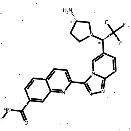 CNC(=O)c1ccc2ccc(-c3nnc4ccc([C@@H](N5CC[C@H](N)C5)C(F)(F)F)cn34)nc2c1